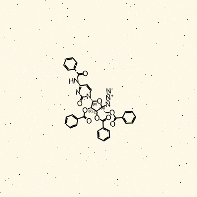 [N-]=[N+]=N[C@]1(COC(=O)c2ccccc2)O[C@@H](n2ccc(NC(=O)c3ccccc3)nc2=O)[C@H](OC(=O)c2ccccc2)[C@@H]1OC(=O)c1ccccc1